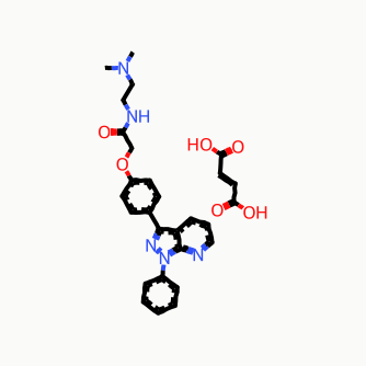 CN(C)CCNC(=O)COc1ccc(-c2nn(-c3ccccc3)c3ncccc23)cc1.O=C(O)C=CC(=O)O